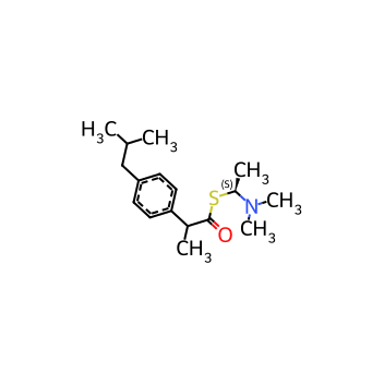 CC(C)Cc1ccc(C(C)C(=O)S[C@@H](C)N(C)C)cc1